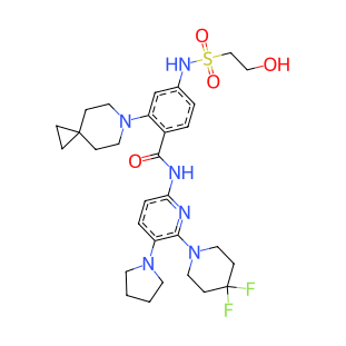 O=C(Nc1ccc(N2CCCC2)c(N2CCC(F)(F)CC2)n1)c1ccc(NS(=O)(=O)CCO)cc1N1CCC2(CC1)CC2